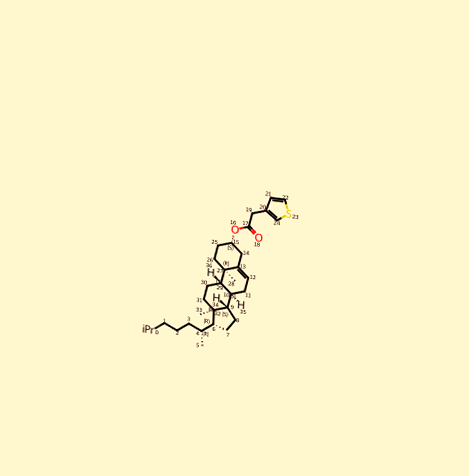 CC(C)CCC[C@@H](C)[C@H]1CC[C@H]2[C@@H]3CC=C4C[C@@H](OC(=O)Cc5ccsc5)CC[C@]4(C)[C@H]3CC[C@]12C